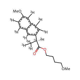 [2H]c1c([C@@]([2H])(C(=O)OCCCCOC)C([2H])([2H])[2H])c([2H])c2c([2H])c([2H])c(OC)c([2H])c2c1[2H]